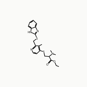 CCOC(=O)C(CSc1ccnc(CSc2nc3ccccc3[nH]2)c1C)N(C)C